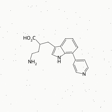 NCCC(Cc1c[nH]c2c(-c3ccncc3)cccc12)C(=O)O